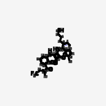 C/C=C(/CCCS)[C@@H](Nc1c(Nc2cccc(C(=O)N(C)CC(F)(F)F)c2O)c(=O)c1=O)c1ccc(C)o1